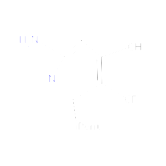 CCCC(C)c1nc(N)cc(C)c1C(F)(F)F